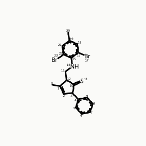 CC1=CC(c2ccccc2)C(=S)C1CNc1c(Br)cc(C)cc1Br